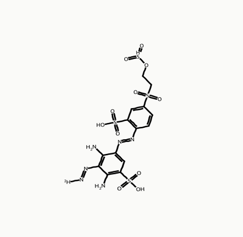 [2H]/N=N/c1c(N)c(/N=N/c2ccc(S(=O)(=O)CCO[SH](=O)=O)cc2S(=O)(=O)O)cc(S(=O)(=O)O)c1N